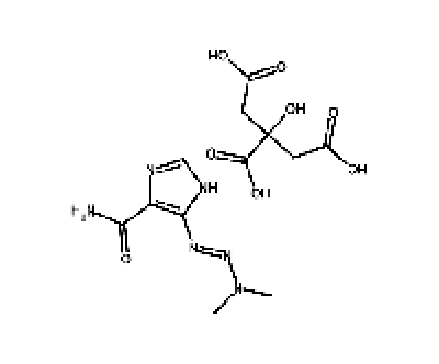 CN(C)N=Nc1[nH]cnc1C(N)=O.O=C(O)CC(O)(CC(=O)O)C(=O)O